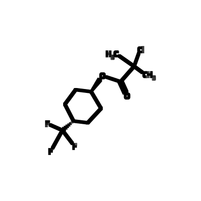 CC(C)(Cl)C(=O)O[C@H]1CC[C@H](C(F)(F)F)CC1